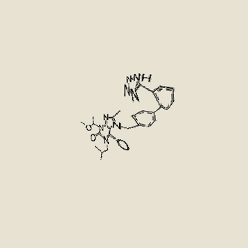 COC(C)n1c(=O)n(CC(C)C)c(=O)c2c1nc(C)n2Cc1ccc(-c2ccccc2-c2nnn[nH]2)cc1